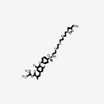 CC(=Cc1cc(F)c(Oc2ccc(S(=O)(=O)NCCOCCOCCOCCn3cc(CO)nn3)cc2)c(F)c1)C(=O)N=C(N)N